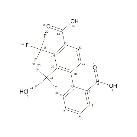 Cl.O=C(O)c1ccccc1-c1ccc(C(=O)O)c(C(F)(F)F)c1C(F)(F)F